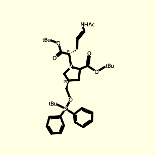 CC(=O)NC=CC[C@@H](C(=O)OC(C)(C)C)N1C[C@H](CO[Si](c2ccccc2)(c2ccccc2)C(C)(C)C)CC1C(=O)OC(C)(C)C